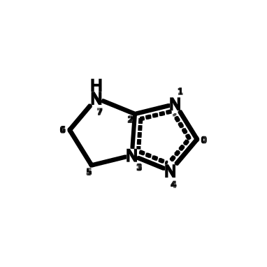 c1nc2n(n1)CCN2